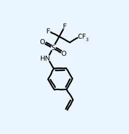 C=Cc1ccc(NS(=O)(=O)C(F)(F)CC(F)(F)F)cc1